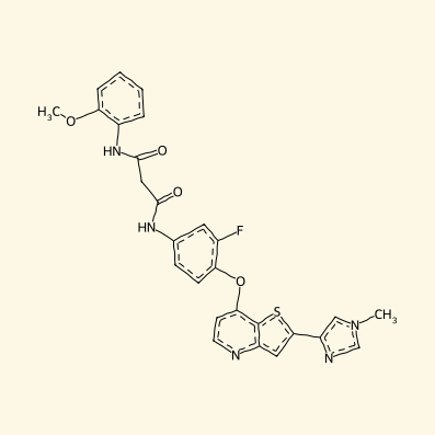 COc1ccccc1NC(=O)CC(=O)Nc1ccc(Oc2ccnc3cc(-c4cn(C)cn4)sc23)c(F)c1